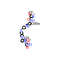 COc1cc2nn([C@H]3CC[C@H](CN4CCC5(CC4)CCN(c4cccc6c4n(C)c(=O)n6C4CCC(=O)NC4=O)CC5)CC3)cc2cc1NC(=O)c1cncc(OC(F)(F)F)c1